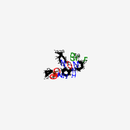 CC1(S(=O)(=O)Nc2ccc(C(=O)Nc3ccc(F)c(Br)n3)c(N3CCC4(CC3)CC4)c2)CC1